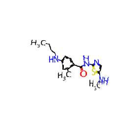 CCCCNc1ccc(C(=O)Nc2ncc(NC)s2)c(C)c1